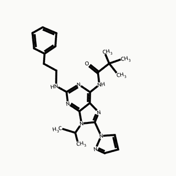 CC(C)n1c(-n2cccn2)nc2c(NC(=O)C(C)(C)C)nc(NCCc3ccccc3)nc21